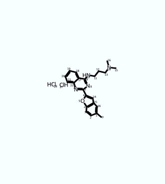 Cc1ccc2oc(-c3nc(NCCCN(C)C)c4ccccc4n3)cc2c1.Cl.Cl